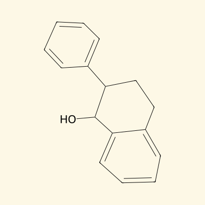 OC1c2ccccc2CCC1c1ccccc1